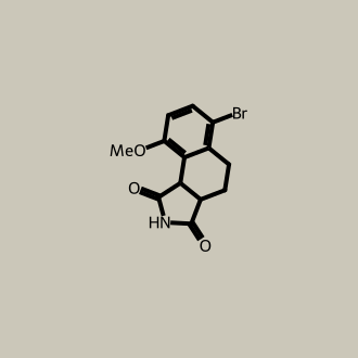 COc1ccc(Br)c2c1C1C(=O)NC(=O)C1CC2